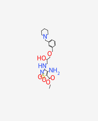 CCOC(=O)C1=C(N)C(NCC(O)COCc2cccc(CN3CCCCC3)c2)=NS1(=O)=O